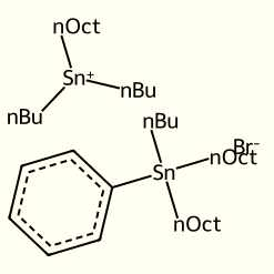 CCCCCCC[CH2][Sn+]([CH2]CCC)[CH2]CCC.CCCCCCC[CH2][Sn]([CH2]CCC)([CH2]CCCCCCC)[c]1ccccc1.[Br-]